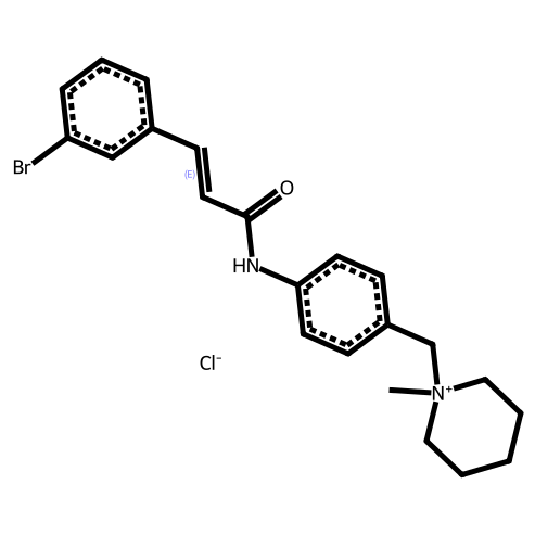 C[N+]1(Cc2ccc(NC(=O)/C=C/c3cccc(Br)c3)cc2)CCCCC1.[Cl-]